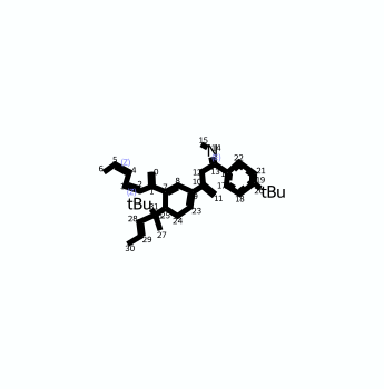 C=C(/C=C\C=C/C)C1=CC(C(=C)C/C(=N\C)c2ccc(C(C)(C)C)cc2)=CCC1C(C)(C=CC)C(C)(C)C